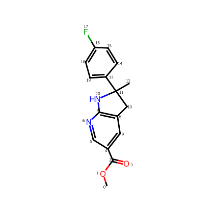 COC(=O)c1cnc2c(c1)CC(C)(c1ccc(F)cc1)N2